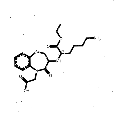 CCOC(=O)[C@@H](CCCCN)NC1CSc2ccccc2N(CC(=O)O)C1=O